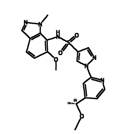 COc1ccc2cnn(C)c2c1NS(=O)(=O)c1cnn(-c2cc([C@@H](C)OC)ccn2)c1